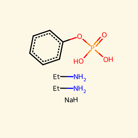 CCN.CCN.O=P(O)(O)Oc1ccccc1.[NaH]